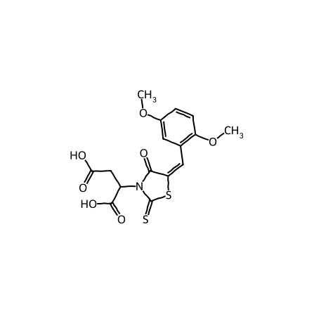 COc1ccc(OC)c(C=C2SC(=S)N(C(CC(=O)O)C(=O)O)C2=O)c1